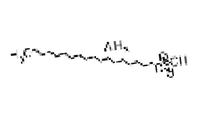 CCCCCCCCCCCCCCCCCCOS(=O)(=O)O.[AlH3]